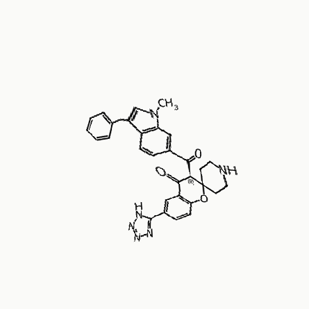 Cn1cc(-c2ccccc2)c2ccc(C(=O)[C@@H]3C(=O)c4cc(-c5nnn[nH]5)ccc4OC34CCNCC4)cc21